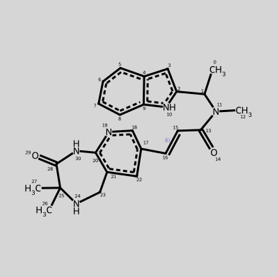 CC(c1cc2ccccc2[nH]1)N(C)C(=O)/C=C/c1cnc2c(c1)CNC(C)(C)C(=O)N2